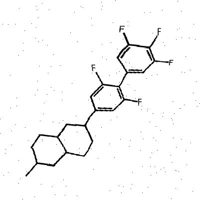 CC1CCC2CC(c3cc(F)c(-c4cc(F)c(F)c(F)c4)c(F)c3)CCC2C1